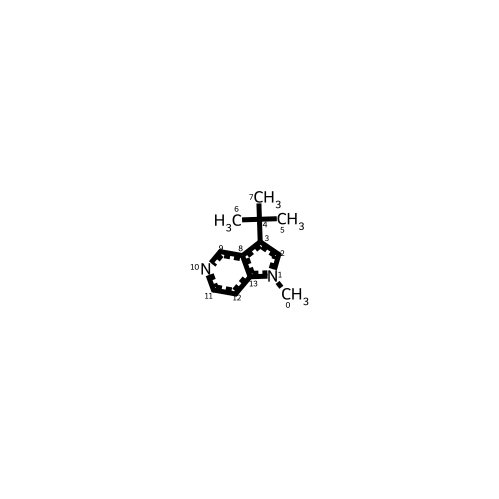 Cn1cc(C(C)(C)C)c2cnccc21